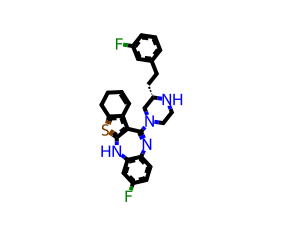 Fc1cccc(CC[C@H]2CN(C3=Nc4ccc(F)cc4Nc4sc5c(c43)C=CCC5)CCN2)c1